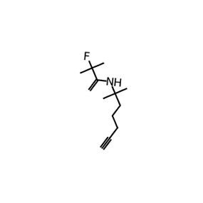 C#CCCCC(C)(C)NC(=C)C(C)(C)F